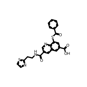 O=C(O)c1cc(SC(=O)c2ccccc2)c2ncc(C(=O)NCCc3nccs3)cc2c1